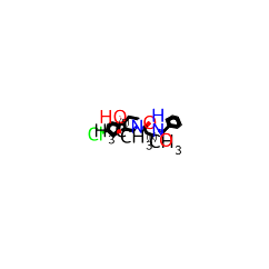 C[C@H](CC(=O)N1CC[C@](O)(c2ccc(Cl)cc2)C(C)(C)C1)NC(=O)c1ccccc1